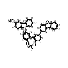 CC1(C)Oc2ccc(-c3ccc4oc5ccccc5c4c3)cc2-c2cc(-n3c4ccccc4c4cc(C#N)ccc43)ccc2O1